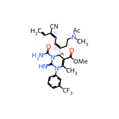 C=C/C(C#N)=C\C=C(/CCN(C)C(C)=O)[C@@H]1C(C(=O)OC)=C(C)N(c2cccc(C(F)(F)F)c2)C(=N)N1C(N)=O